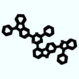 c1ccc(-c2nc(-c3ccc4c(c3)c3ccccc3n4-c3ccccc3)nc(-c3cccc4oc5cc(-c6nc7ccccc7n6-c6ccccc6)ccc5c34)n2)cc1